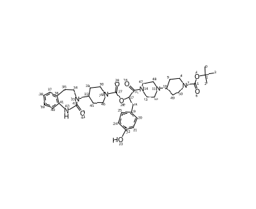 CC(C)(C)OC(=O)N1CCC(N2CCN(C(=O)C(Cc3ccc(O)cc3)OC(=O)N3CCC(N4CCc5ccccc5NC4=O)CC3)CC2)CC1